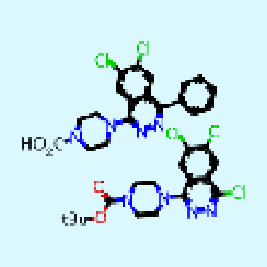 CC(C)(C)OC(=O)N1CCN(c2nnc(Cl)c3cc(Cl)c(Cl)cc23)CC1.O=C(O)N1CCN(c2nnc(-c3ccccc3)c3cc(Cl)c(Cl)cc23)CC1